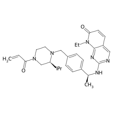 C=CC(=O)N1CCN(Cc2ccc([C@H](C)Nc3ncc4ccc(=O)n(CC)c4n3)cc2)[C@@H](C(C)C)C1